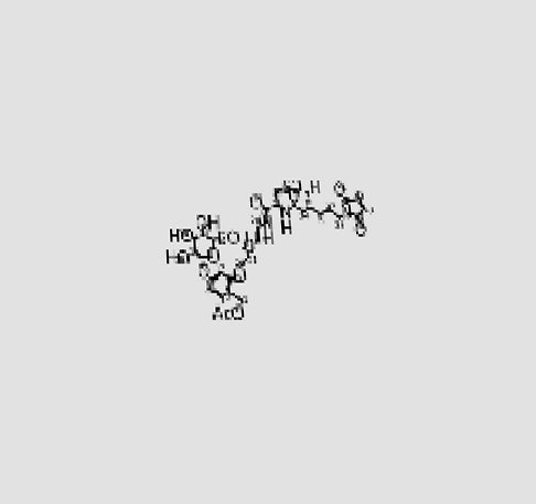 CC(=O)OCc1ccc(O[C@@H]2O[C@H](C(=O)O)[C@@H](O)[C@H](O)[C@H]2O)cc1OCCOCCNC(=O)C(CS(=O)(=O)O)NC(=O)CCCCCN1C(=O)C=CC1=O